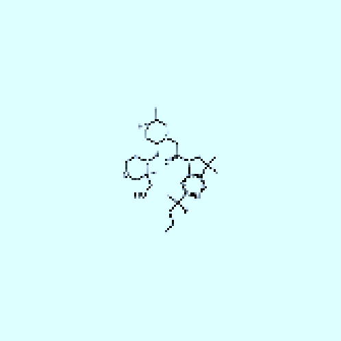 CCCC(F)(F)c1cc2c(cn1)C(C)(C)CN2C(=O)CN1CC(C)NC[C@@H]1CN1CCOC[C@]1(C)CO